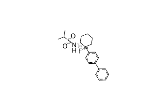 CC(C)S(=O)(=O)N[C@@H]1CCCC[C@@]1(F)c1ccc(-c2ccccc2)cc1